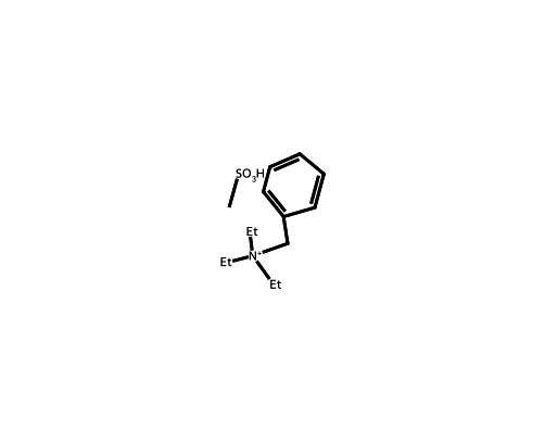 CC[N+](CC)(CC)Cc1ccccc1.CS(=O)(=O)O